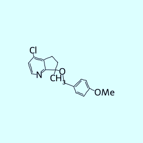 COc1ccc(COC2(C)CCc3c(Cl)ccnc32)cc1